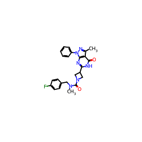 Cc1nn(-c2ccccc2)c2nc(C3CN(C(=O)N(C)Cc4ccc(F)cc4)C3)[nH]c(=O)c12